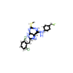 CSc1nc(Nc2ccc(CF)cc2)c2nc(Cc3c(Cl)cccc3Cl)[nH]c2n1